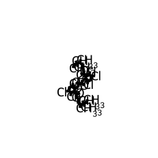 CCC(C)(C)C(C)CCOC(=O)c1c(Cl)c(Cl)cc(Cl)c1OC(=O)C(=O)Oc1c(Cl)cc(Cl)c(Cl)c1C(=O)OCCC(C)C(C)(C)CC